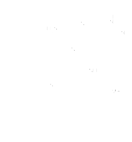 COc1cccc(CN2CC(N3C(N)=Nc4[nH]ncc4C3N)Cc3ccccc32)c1F